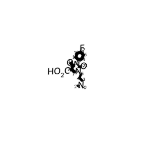 CN(C)CCCn1cc(C(=O)O)c(=O)n(-c2ccc(F)cc2)c1=O